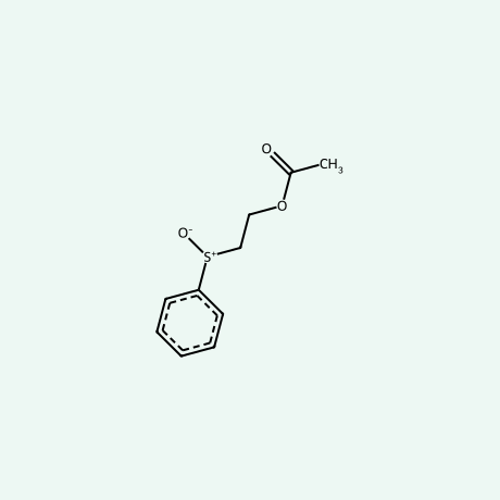 CC(=O)OCC[S+]([O-])c1ccccc1